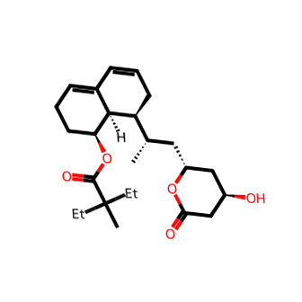 CCC(C)(CC)C(=O)O[C@H]1CCC=C2C=CC[C@@H]([C@@H](C)C[C@@H]3C[C@@H](O)CC(=O)O3)[C@H]21